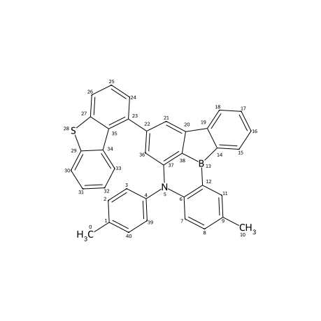 Cc1ccc(N2c3ccc(C)cc3B3c4ccccc4-c4cc(-c5cccc6sc7ccccc7c56)cc2c43)cc1